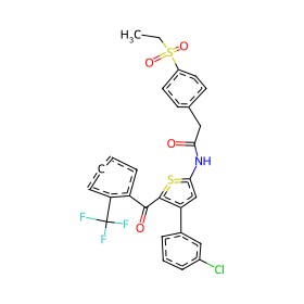 CCS(=O)(=O)c1ccc(CC(=O)Nc2cc(-c3cccc(Cl)c3)c(C(=O)c3ccccc3C(F)(F)F)s2)cc1